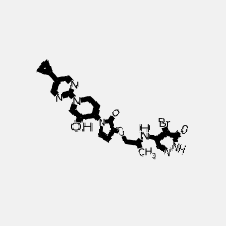 CC(COC1CCN(C2CCN(c3ncc(C4CC4)cn3)CC2O)C1=O)Nc1cn[nH]c(=O)c1Br